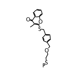 Cc1c(SCc2ccc(COCCSF)cc2)oc2ccccc2c1=O